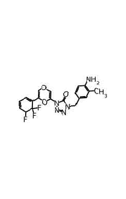 Cc1cc(Cn2nnn(C3=COC=C(C4=CC=CC(F)C4(F)F)O3)c2=O)ccc1N